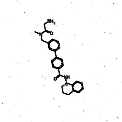 CN(Cc1cccc(-c2ccc(C(=O)N[C@@H]3CCCc4ccccc43)cc2)c1)C(=O)CN